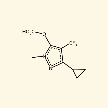 Cn1nc(C2CC2)c(C(F)(F)F)c1OC(=O)O